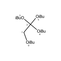 CC(C)COCC(OCC(C)C)(OCC(C)C)OCC(C)C